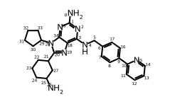 Nc1nc(NCc2ccc(-c3ccccn3)cc2)c2nc(C3CCCC(N)C3)n(C3CCCC3)c2n1